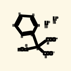 CCCCCCCCC(C(=O)[O-])(C(=O)[O-])c1ccccc1.[Li+].[Li+]